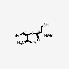 C=C(/C(=C\C(C)C)SC(=O)[C@H](CS)NC)C(C)C